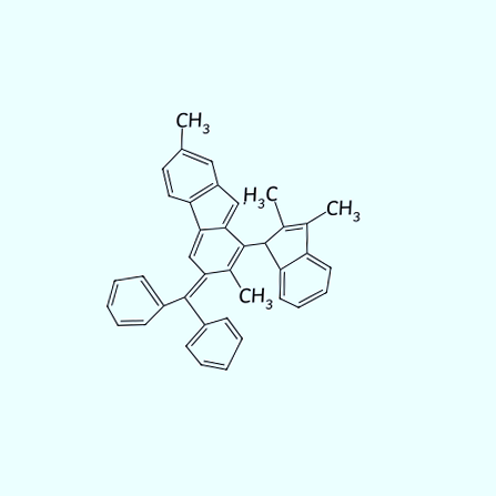 CC1=C(C)C(c2c(C)c(=C(c3ccccc3)c3ccccc3)cc3c2=[C]c2cc(C)ccc2-3)c2ccccc21